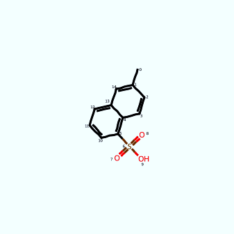 Cc1ccc2c(S(=O)(=O)O)cccc2c1